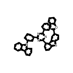 c1ccc(-c2nc(-c3cccc(-n4c5ccccc5c5ccccc54)c3)nc(-c3cccc4sc5ccc(-c6nc7ccccc7o6)cc5c34)n2)cc1